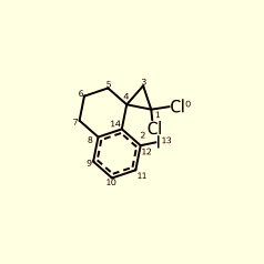 ClC1(Cl)CC12CCCc1cccc(I)c12